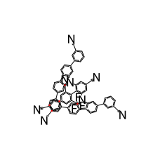 N#Cc1cccc(-c2ccc3c4ccc(-c5cccc(C#N)c5)cc4n(-c4cc(C#N)cc(-n5c6cc(-c7cccc(C#N)c7)ccc6c6ccc(-c7cccc(C#N)c7)cc65)c4-c4c(C#N)cccc4C(F)(F)F)c3c2)c1